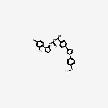 CCC(NC(=O)/N=C1\CCCN1c1ccc(F)cc1C(C)C)c1ccc(-c2ncn(-c3ccc(OC(F)(F)F)cc3)n2)cc1